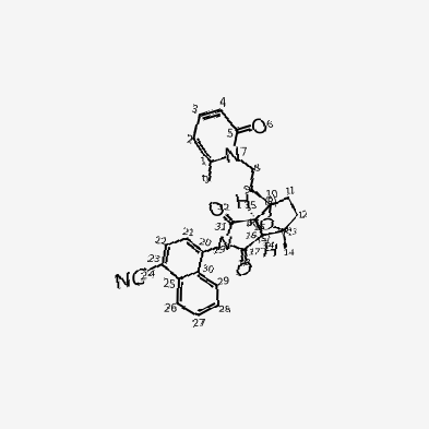 Cc1cccc(=O)n1CC[C@@]12CC[C@@](C)(O1)[C@H]1C(=O)N(c3ccc(C#N)c4ccccc34)C(=O)[C@H]12